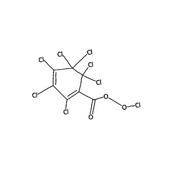 O=C(OOCl)C1=C(Cl)C(Cl)=C(Cl)C(Cl)(Cl)C1(Cl)Cl